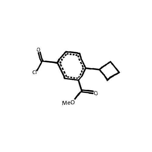 COC(=O)c1cc(C(=O)Cl)ccc1C1CCC1